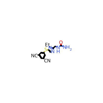 CCn1c(Sc2cc(C#N)cc(C#N)c2)cnc1CNC(N)=O